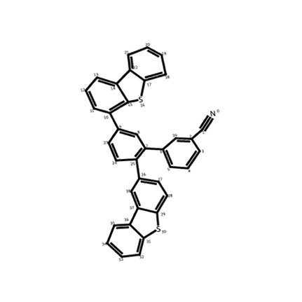 N#Cc1cccc(-c2cc(-c3cccc4c3sc3ccccc34)ccc2-c2ccc3sc4ccccc4c3c2)c1